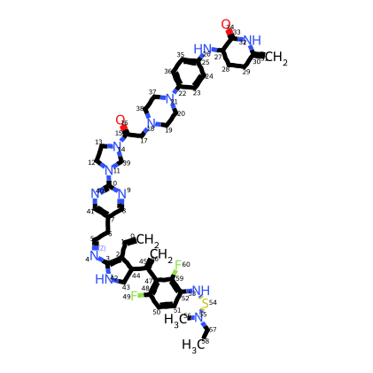 C=CC1=C(/N=C\Cc2cnc(N3CCN(C(=O)CN4CCN(c5ccc(NC6CCC(=C)NC6=O)cc5)CC4)C3)nc2)NCC1C(=C)c1c(F)ccc(NSN(C)CC)c1F